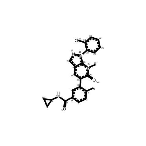 Cc1ccc(C(=O)NC2CC2)cc1-c1cc2cnn(-c3ccccc3Cl)c2n(C)c1=O